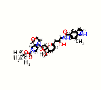 Cc1cc(C(=O)NC[C@H](O)C[C@H]2CC[C@@H](C)C(CCN3CCOC[C@@]34CCN(C(=O)OC(C)(C)C)C4)(C(=O)O)O2)cc2cc[nH]c12